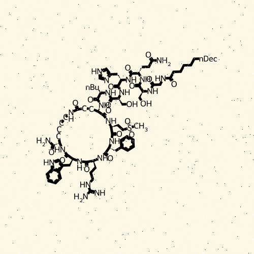 CCCCCCCCCCCCCCCC(=O)NCC(=O)N[C@@H](CO)C(=O)N[C@@H](CCC(N)=O)C(=O)N[C@@H](Cc1c[nH]cn1)C(=O)N[C@@H](CO)C(=O)N[C@@H](CCCC)C(=O)N[C@H]1CCC(=O)NCCCC[C@@H](C(N)=O)NC(=O)[C@H](Cc2c[nH]c3ccccc23)NC(=O)[C@H](CCCNC(=N)N)NC(=O)[C@@H](Cc2ccccc2)NC(=O)[C@H](CCS(C)(=O)=O)NC1=O